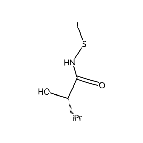 CC(C)[C@H](O)C(=O)NSI